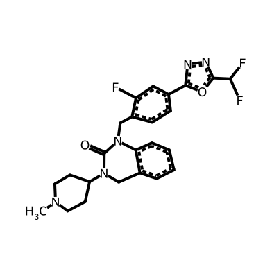 CN1CCC(N2Cc3ccccc3N(Cc3ccc(-c4nnc(C(F)F)o4)cc3F)C2=O)CC1